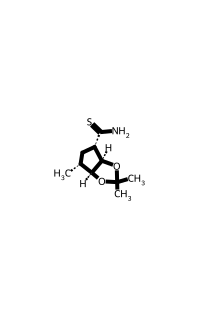 C[C@@H]1C[C@H](C(N)=S)[C@H]2OC(C)(C)O[C@H]21